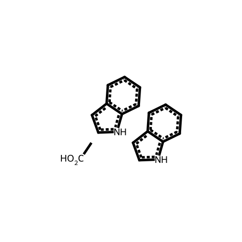 CC(=O)O.c1ccc2[nH]ccc2c1.c1ccc2[nH]ccc2c1